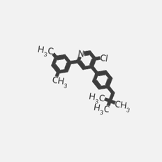 Cc1cc(C)cc(-c2cc(-c3ccc(CC(C)(C)C)cc3)c(Cl)cn2)c1